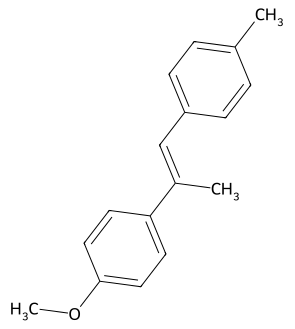 COc1ccc(C(C)=Cc2ccc(C)cc2)cc1